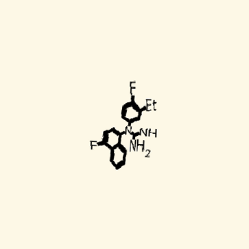 CCc1cc(N(C(=N)N)c2ccc(F)c3ccccc23)ccc1F